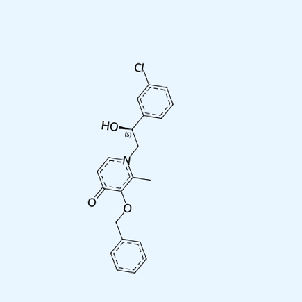 Cc1c(OCc2ccccc2)c(=O)ccn1C[C@@H](O)c1cccc(Cl)c1